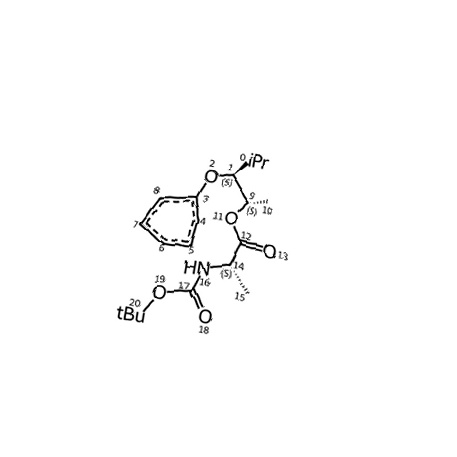 CC(C)[C@H](Oc1ccccc1)[C@H](C)OC(=O)[C@H](C)NC(=O)OC(C)(C)C